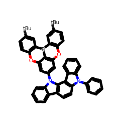 CC(C)(C)c1ccc2c(c1)B1c3cc(C(C)(C)C)ccc3Oc3cc(-n4c5ccccc5c5ccc6c(c7ccccc7n6-c6ccccc6)c54)cc(c31)O2